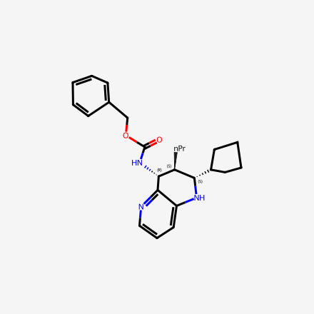 CCC[C@@H]1[C@@H](NC(=O)OCc2ccccc2)c2ncccc2N[C@H]1C1CCCC1